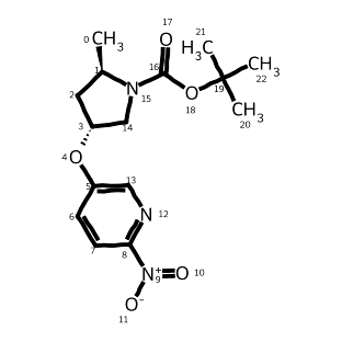 C[C@@H]1C[C@@H](Oc2ccc([N+](=O)[O-])nc2)CN1C(=O)OC(C)(C)C